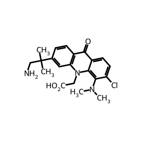 CN(C)c1c(Cl)ccc2c(=O)c3ccc(C(C)(C)CN)cc3n(CC(=O)O)c12